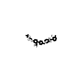 Cc1cccc(-c2nc3ccn(Cc4ccc(-c5ccc(OCC(=O)OC(C)(C)C)cc5C(F)(F)F)cc4)cc-3n2)c1F